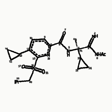 CC(=O)NC(=N)[C@](C)(NC(=O)c1ccc(C2CC2)c(S(=O)(=O)CC(C)C)n1)C1CC1